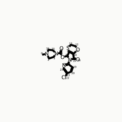 CN1CCN(C(=O)OC2C3=C(OCCS3)C(=O)N2c2ccc(Cl)cn2)CC1